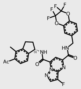 CC(=O)c1ccc2c(c1C)CC[C@@H]2NC(=O)c1cc(C(=O)NCc2ccc3c(c2)OC(F)(F)C(F)(F)O3)nc2c(F)cnn12